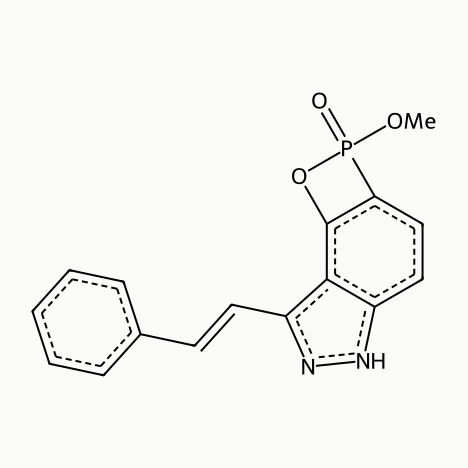 COP1(=O)Oc2c1ccc1[nH]nc(/C=C/c3ccccc3)c21